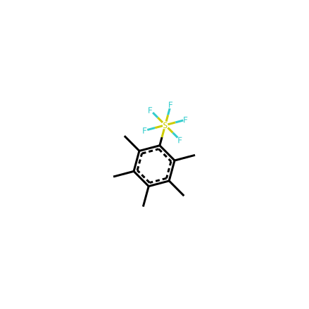 Cc1c(C)c(C)c(S(F)(F)(F)(F)F)c(C)c1C